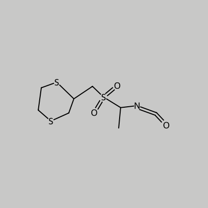 CC(N=C=O)S(=O)(=O)CC1CSCCS1